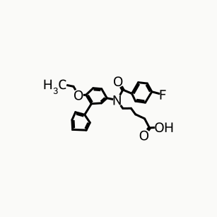 CCOc1ccc(N(CCCCC(=O)O)C(=O)c2ccc(F)cc2)cc1-c1ccccc1